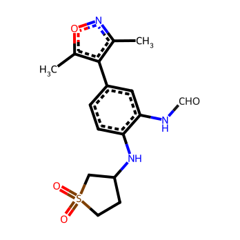 Cc1noc(C)c1-c1ccc(NC2CCS(=O)(=O)C2)c(NC=O)c1